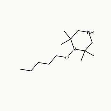 CCCCCON1C(C)(C)CNCC1(C)C